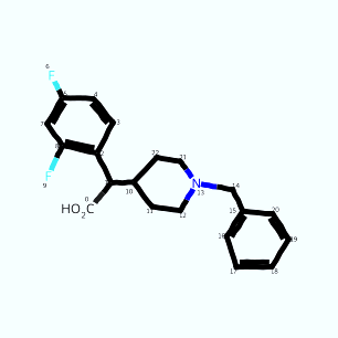 O=C(O)C(c1ccc(F)cc1F)C1CCN(Cc2ccccc2)CC1